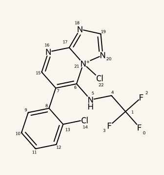 FC(F)(F)CNC1=C(c2ccccc2Cl)C=NC2=NC=N[N+]21Cl